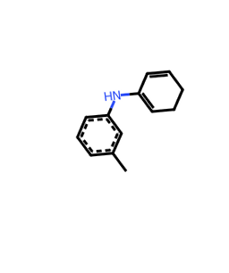 Cc1cccc(NC2=CCCC=C2)c1